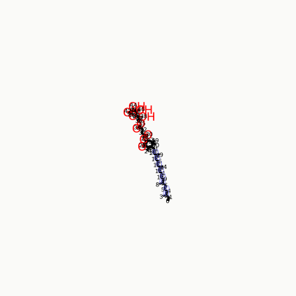 C=C/C(C)=C/C=C/C(C)=C/C=C/C=C(C)/C=C/C=C(C)/C=C/C1=C(C)C(=O)C(OC(=O)CCC(=O)OC[C@H](O)[C@H]2OC(=O)C(O)=C2O)CC1(C)C